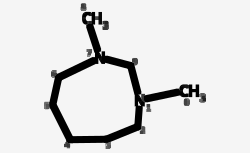 CN1CCCCCN(C)C1